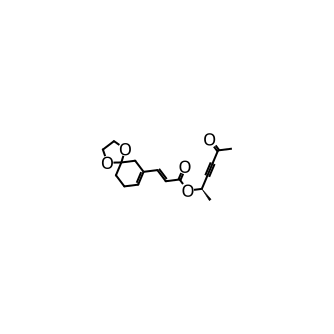 CC(=O)C#C[C@@H](C)OC(=O)/C=C/C1=CCCC2(C1)OCCO2